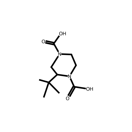 CC(C)(C)C1CN(C(=O)O)CCN1C(=O)O